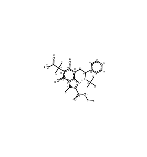 CCOC(=O)c1sc2c(c1C)c(=O)n(C(C)(C)C(=O)O)c(=O)n2CC(OC(C)(C)C)c1ccccc1